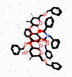 C[C@@H]1C(COCc2ccccc2)O[C@H](OCN(Cc2ccccc2)C(=O)OCc2ccccc2)C(O[C@H]2OC(COCc3ccccc3)[C@@H](O[C@@H]3OC(COCc4ccccc4)[C@@H](C)[C@H](O)C3OC(=O)c3ccccc3)[C@H](O)C2OCc2ccccc2)[C@H]1C